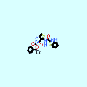 CCC(OC(=O)NC(=O)c1ccsc1NC(=O)C1Nc2ccccc2S1)c1ccccc1